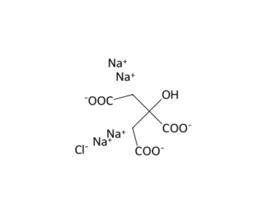 O=C([O-])CC(O)(CC(=O)[O-])C(=O)[O-].[Cl-].[Na+].[Na+].[Na+].[Na+]